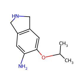 CC(C)Oc1cc2c(cc1N)CNC2